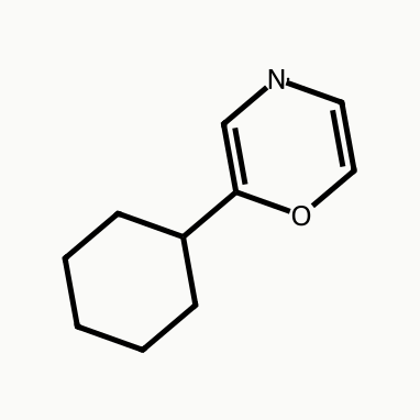 C1=COC(C2CCCCC2)=C[N]1